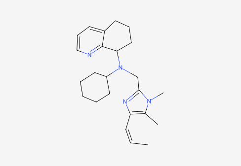 C/C=C\c1nc(CN(C2CCCCC2)C2CCCc3cccnc32)n(C)c1C